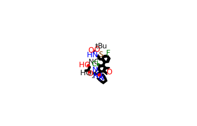 CC(CO)Oc1nc(N2C3CCC2CN(C(=O)O)C3)c2c3c(c(-c4ccc(F)c5sc(NC(=O)OC(C)(C)C)c(C#N)c45)c(Cl)c2n1)COC3